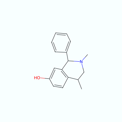 CC1CN(C)C(c2ccccc2)c2cc(O)ccc21